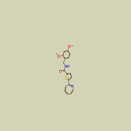 COc1ccc(CNC(=O)c2ccc(C3=NC=CC=C=C3)s2)c(OC)c1